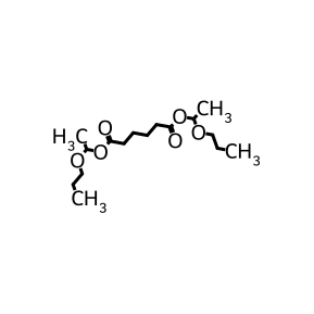 CCCOC(C)OC(=O)CCCCC(=O)OC(C)OCCC